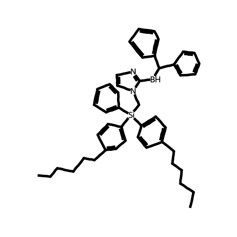 CCCCCCc1ccc([Si](Cn2ccnc2BC(c2ccccc2)c2ccccc2)(c2ccccc2)c2ccc(CCCCCC)cc2)cc1